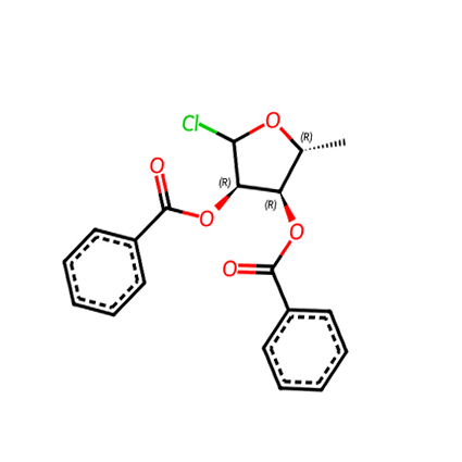 C[C@H]1OC(Cl)[C@H](OC(=O)c2ccccc2)[C@@H]1OC(=O)c1ccccc1